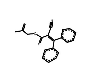 C=C(C)COC(=O)C(C#N)=C(c1ccccc1)c1ccccc1